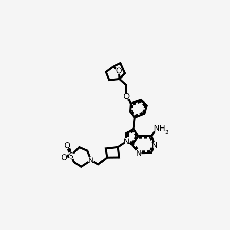 Nc1ncnc2c1c(-c1cccc(OCC34CCC(CC3)O4)c1)cn2C1CC(CN2CCS(=O)(=O)CC2)C1